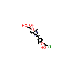 C=CC/C=C(\C=C(\C)COC[C@H](O)CO)C(C)(C)c1ccc(OC[C@@H](O)CCl)c(C)c1